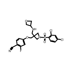 N#Cc1ccc(OCC2(CNC3COC3)CN(S(=O)(=O)c3ccc(Cl)cc3Cl)C2)cc1F